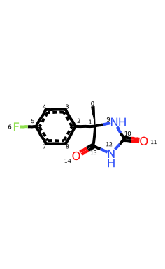 C[C@@]1(c2ccc(F)cc2)NC(=O)NC1=O